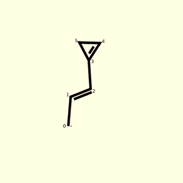 [CH2]C=CC1=[C]C1